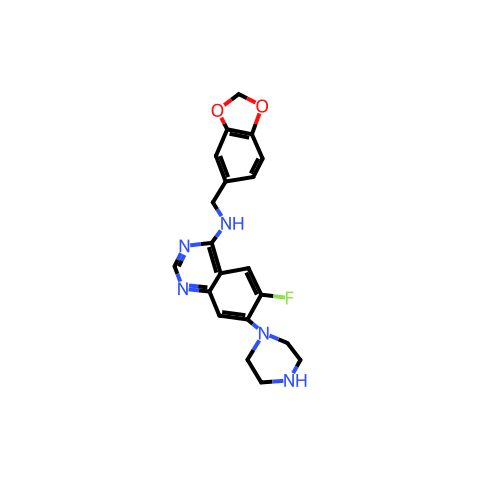 Fc1cc2c(NCc3ccc4c(c3)OCO4)ncnc2cc1N1CCNCC1